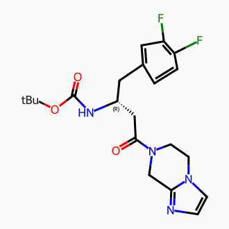 CC(C)(C)OC(=O)N[C@@H](CC(=O)N1CCn2ccnc2C1)Cc1ccc(F)c(F)c1